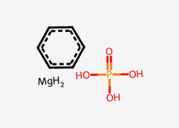 O=P(O)(O)O.[MgH2].c1ccccc1